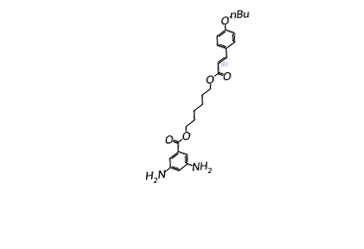 CCCCOc1ccc(/C=C/C(=O)OCCCCCCOC(=O)c2cc(N)cc(N)c2)cc1